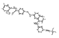 C[Si](C)(C)C#Cc1cccc(Nc2ncnc3ccc(OCc4ccc(C(=O)Nc5ccccc5N)cc4)cc23)c1